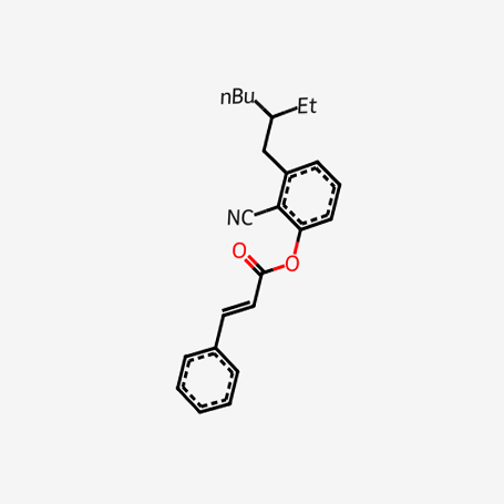 CCCCC(CC)Cc1cccc(OC(=O)C=Cc2ccccc2)c1C#N